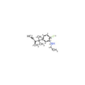 C#CC(=C)C(C)(C)c1ccc(F)c(NCC)c1